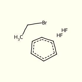 CCBr.F.F.c1ccccc1